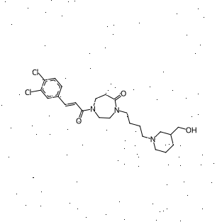 O=C(/C=C/c1ccc(Cl)c(Cl)c1)N1CCC(=O)N(CCCCN2CCCC(CO)C2)CC1